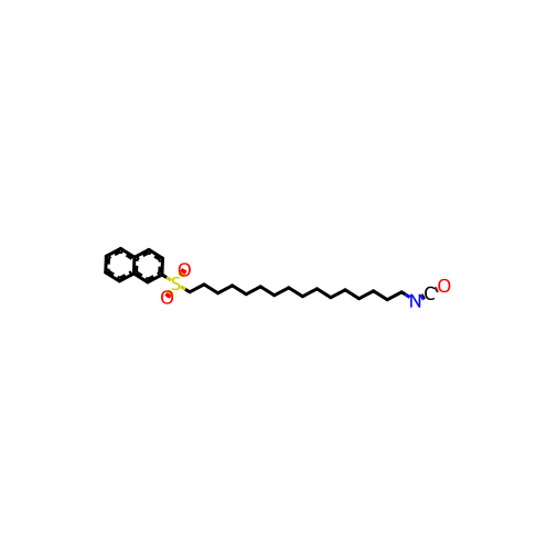 O=C=NCCCCCCCCCCCCCCCCS(=O)(=O)c1ccc2ccccc2c1